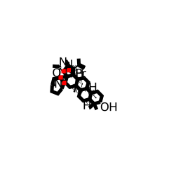 C=C(C)[C@@H]1CCC2(C(=O)N3C4CCC3CC(n3c(C)nnc3C(C)C)C4)CC[C@]3(C)[C@H](CC[C@@H]4[C@@]5(C)CCC(O)C(C)(C)[C@@H]5CC[C@]43C)[C@@H]12